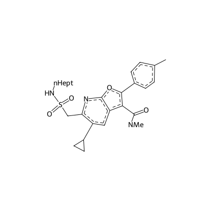 CCCCCCCNS(=O)(=O)Cc1nc2oc(-c3ccc(C)cc3)c(C(=O)NC)c2cc1C1CC1